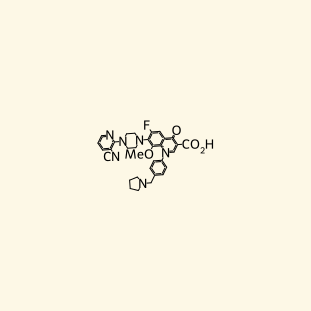 COc1c(N2CCN(c3ncccc3C#N)CC2)c(F)cc2c(=O)c(C(=O)O)cn(-c3ccc(CN4CCCC4)cc3)c12